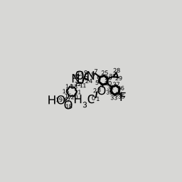 CCCOc1cc(CN2CC3(CC([C@H]4CC[C@H](C(=O)O)CC4)=NO3)C2)cc(C2CC2)c1-c1ccc(F)cc1